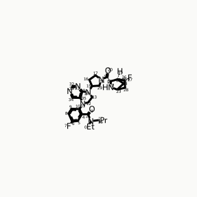 CCN(C(=O)c1cc(F)ccc1N1CCN(C2CCN(C(=O)[C@H]3NC4C[C@@H]3[C@H](F)C4)C2)c2ncncc21)C(C)C